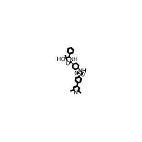 Cc1cc(-c2ccc(S(=O)(=O)N[C@H]3CC[C@H](C(=O)N[C@@H](c4ccccc4)C(C)(C)O)CC3)cc2)cc(C)n1